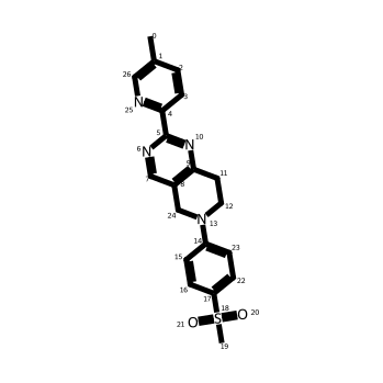 Cc1ccc(-c2ncc3c(n2)CCN(c2ccc(S(C)(=O)=O)cc2)C3)nc1